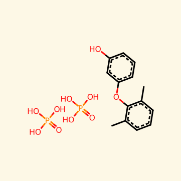 Cc1cccc(C)c1Oc1cccc(O)c1.O=P(O)(O)O.O=P(O)(O)O